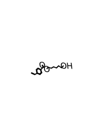 C=Cc1ccc(C(=O)OCCCCCCO)cc1